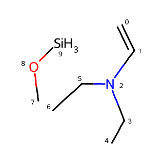 C=CN(CC)CC.CO[SiH3]